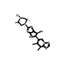 CCN1C[C@H](C)N(c2nc3c(C(C)C)c(-c4cn5ncnc5c(C)c4C)[nH]c3s2)C[C@H]1C